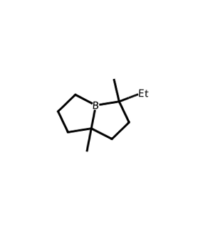 CCC1(C)CCC2(C)CCCB12